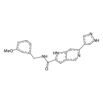 COc1cccc(CNC(=O)c2cc3cnc(-c4cn[nH]c4)cc3[nH]2)c1